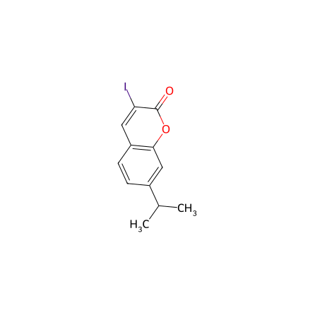 CC(C)c1ccc2cc(I)c(=O)oc2c1